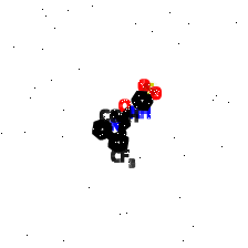 Cc1cc(C(=O)Nc2ccc(S(C)(=O)=O)cc2)c(C)n1-c1c(C(=O)O)cccc1-c1cccc(C(F)(F)F)c1